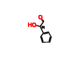 O=C[C@H](O)c1ccccc1